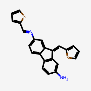 Nc1ccc2c(c1)/C(=C\c1cccs1)c1cc(/N=C/c3cccs3)ccc1-2